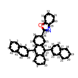 c1ccc2cc(-c3c4ccccc4c(-c4ccc5ccccc5c4)c4cc(-c5nc6ccccc6o5)ccc34)ccc2c1